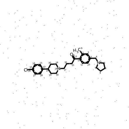 Cc1cc(CN2CCCC2)ccc1C(=O)CCCN1CCC(c2ccc(Cl)cc2)CC1